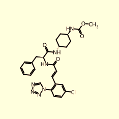 COC(=O)N[C@H]1CC[C@H](NC(=O)[C@H](Cc2ccccc2)NC(=O)/C=C/c2cc(Cl)ccc2-n2cnnn2)CC1